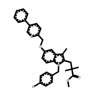 COC(=O)C(C)(C)Cc1c(C)c2cc(OCc3ccc(-c4ccccc4)cn3)ccc2n1Cc1ccc(Cl)cc1